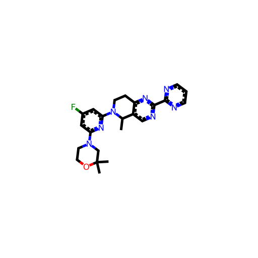 CC1c2cnc(-c3ncccn3)nc2CCN1c1cc(F)cc(N2CCOC(C)(C)C2)n1